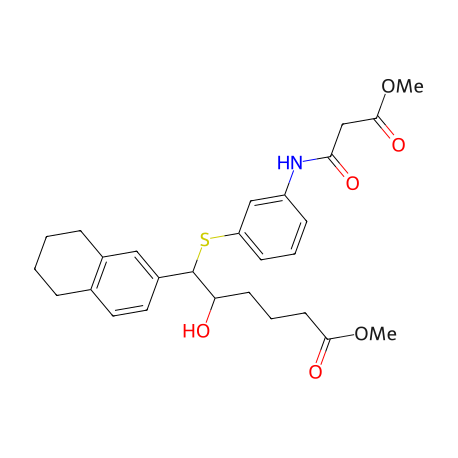 COC(=O)CCCC(O)C(Sc1cccc(NC(=O)CC(=O)OC)c1)c1ccc2c(c1)CCCC2